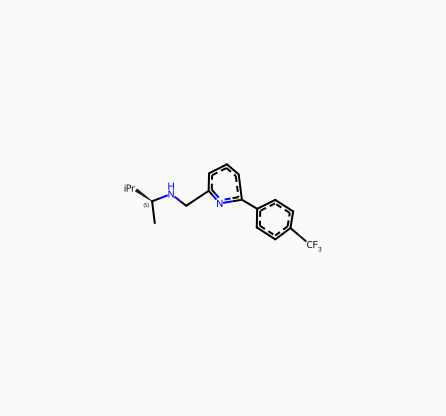 CC(C)[C@H](C)NCc1cccc(-c2ccc(C(F)(F)F)cc2)n1